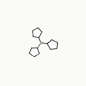 C1CCC([S+](C2CCCC2)C2CCCC2)C1